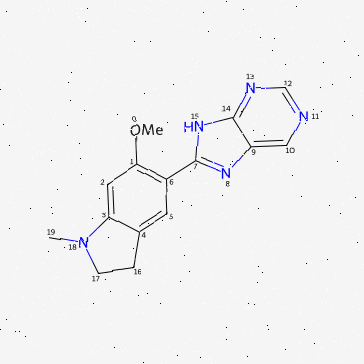 COc1cc2c(cc1-c1nc3cncnc3[nH]1)CCN2C